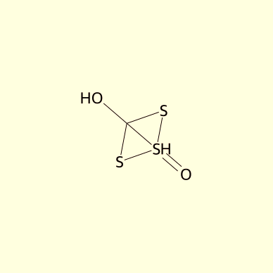 O=[SH]12SC1(O)S2